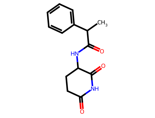 CC(C(=O)NC1CCC(=O)NC1=O)c1ccccc1